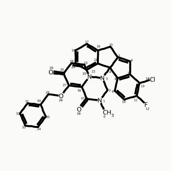 CN1CN(C23C(=Cc4c2ccc(F)c4Cl)Cc2ccccc23)n2ccc(=O)c(OCc3ccccc3)c2C1=O